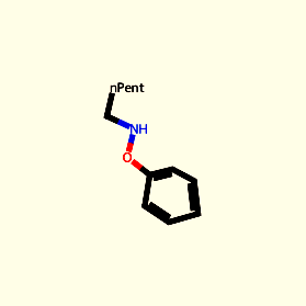 CCCCCCNOc1ccccc1